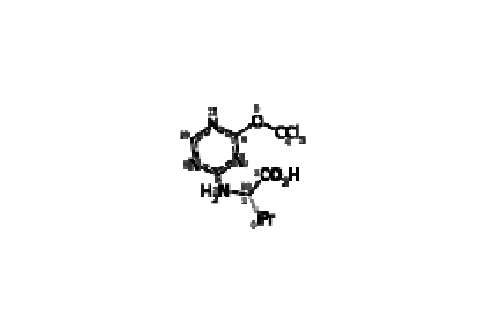 CC(C)[C@H](N)C(=O)O.ClC(Cl)(Cl)Oc1ncncn1